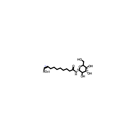 CCCCCCCC/C=C\CCCCCCCC(=O)N[C@@H]1OC(CO)[C@@H](O)[C@H](O)C1O